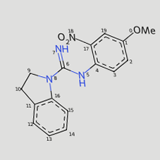 COc1ccc(NC(=N)N2CCc3ccccc32)c([N+](=O)[O-])c1